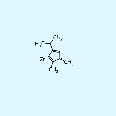 C[C]1C=C(C(C)C)C=C1C.[Zr]